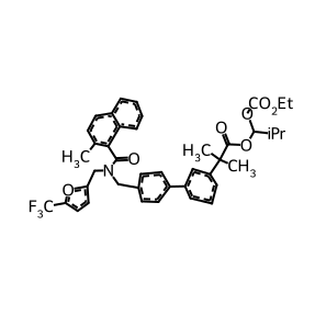 CCOC(=O)OC(OC(=O)C(C)(C)c1cccc(-c2ccc(CN(Cc3ccc(C(F)(F)F)o3)C(=O)c3c(C)ccc4ccccc34)cc2)c1)C(C)C